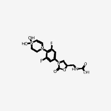 O=C(O)NCC1CN(c2cc(F)c(N3C=CS(O)(O)CC3)c(F)c2)C(=O)O1